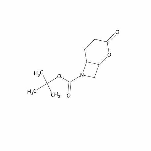 CC(C)(C)OC(=O)N1CC2OC(=O)CCC21